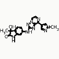 Cn1cc(-c2nccn3nc(Nc4ccc5c(c4)NC(=O)C5(C)O)nc23)cn1